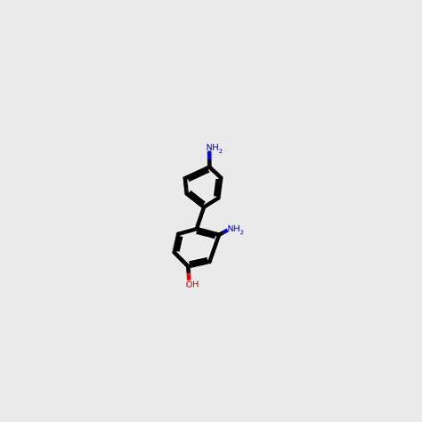 Nc1ccc(-c2ccc(O)cc2N)cc1